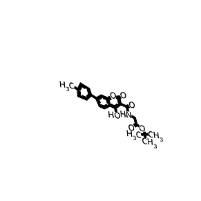 Cc1ccc(-c2ccc3c(O)c(C(=O)NCC(=O)OC(C)(C)C)c(=O)oc3c2)cc1